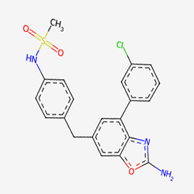 CS(=O)(=O)Nc1ccc(Cc2cc(-c3cccc(Cl)c3)c3nc(N)oc3c2)cc1